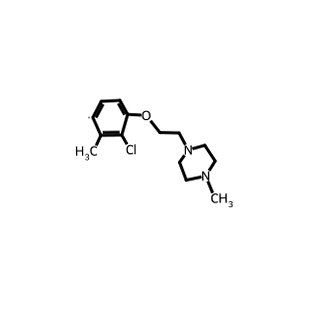 Cc1[c]ccc(OCCN2CCN(C)CC2)c1Cl